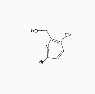 Cc1ccc(Br)nc1CO